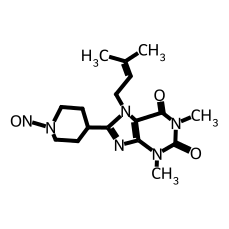 CC(C)=CCn1c(C2CCN(N=O)CC2)nc2c1c(=O)n(C)c(=O)n2C